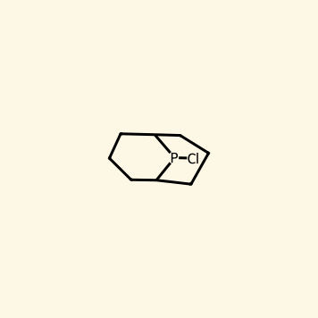 ClP1C2CCCC1CCC2